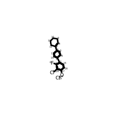 Fc1c(-c2ccc(C3=CCCCC3)cc2)ccc(OCl)c1Cl